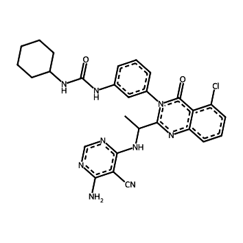 CC(Nc1ncnc(N)c1C#N)c1nc2cccc(Cl)c2c(=O)n1-c1cccc(NC(=O)NC2CCCCC2)c1